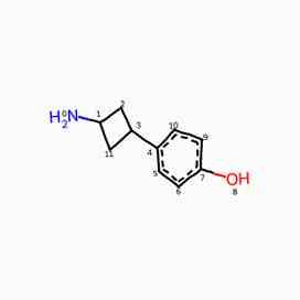 NC1CC(c2ccc(O)cc2)C1